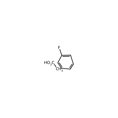 CC(=O)O.Fc1ccccc1